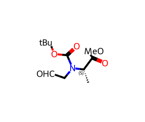 COC(=O)[C@H](C)N(CC=O)C(=O)OC(C)(C)C